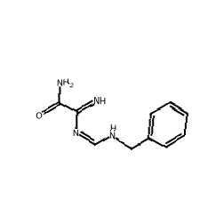 N=C(/N=C\NCc1ccccc1)C(N)=O